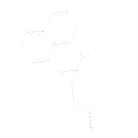 C/C(=C/C1C2Nc3cccc4cccc(c34)N12)C(=O)O